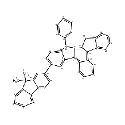 CC1(C)c2ccccc2-c2ccc(-c3ccc4c(c3)c3c5ccccc5c5c6ccccc6sc5c3n4-c3ccccc3)cc21